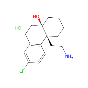 Cl.NCC[C@]12CCCC[C@@]1(O)CCc1cc(Cl)ccc12